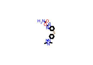 Cc1nc(C)n(-c2ccc(Sc3ccc4c(c3)nc(OC(N)=O)n4C)cc2)n1